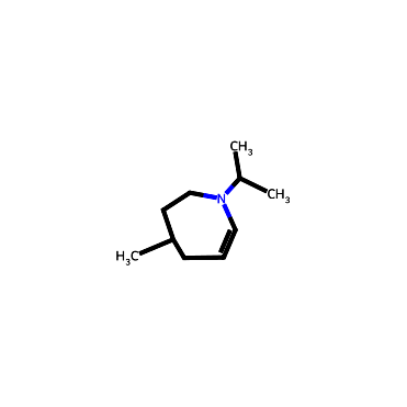 CC1CC=CN(C(C)C)CC1